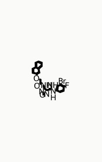 N=C(Nc1ccc(F)c(Br)c1)c1nonc1NC(=O)COc1ccc2ccccc2c1